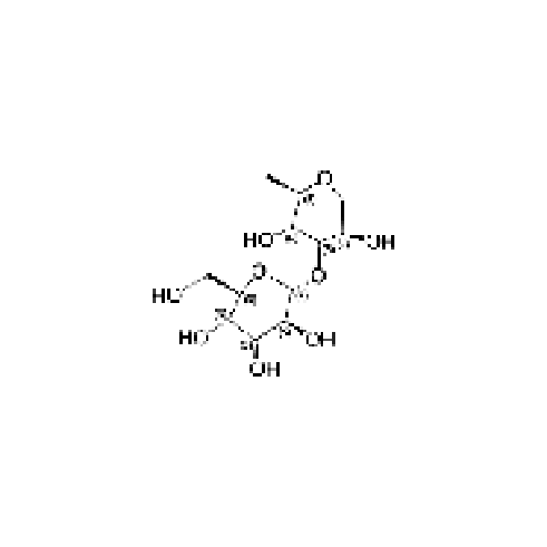 C[C@H]1OC[C@@H](O)[C@@H](O[C@H]2O[C@H](CO)[C@@H](O)[C@H](O)[C@@H]2O)[C@@H]1O